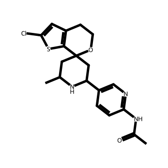 CC(=O)Nc1ccc(C2CC3(CC(C)N2)OCCc2cc(Cl)sc23)cn1